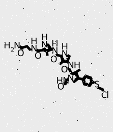 Cc1c(NC(=O)c2[nH]cc(NC(=O)c3c(C)c(-c4ccc(SCCCl)cc4)cn3NC=O)c2C)c[nH]c1C(=O)NCCC(N)=O